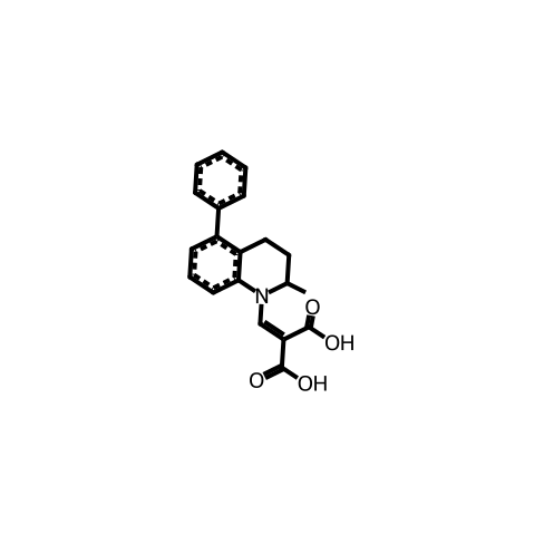 CC1CCc2c(-c3ccccc3)cccc2N1C=C(C(=O)O)C(=O)O